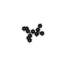 c1ccc(-c2ccc3c4c(-c5cccc(N(c6ccc7c(ccc8ccccc87)c6)c6ccc7c(ccc8ccccc87)c6)c5)cccc4n(-c4ccccc4)c3c2)cc1